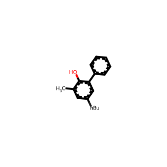 CCCCc1cc(C)c(O)c(-c2ccccc2)c1